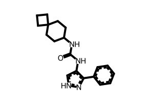 O=C(Nc1c[nH]nc1-c1ccccc1)NC1CCC2(CCC2)CC1